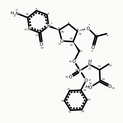 CC(=O)O[C@H]1C[C@H](n2ccc(N)nc2=O)O[C@@H]1COP(=O)(NC(C)C(=O)O)Oc1ccccc1